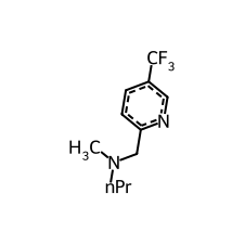 CCCN(C)Cc1ccc(C(F)(F)F)cn1